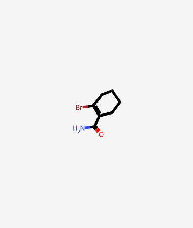 NC(=O)C1=C(Br)CCCC1